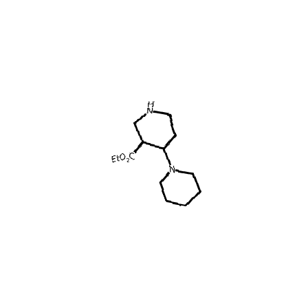 CCOC(=O)C1CNCCC1N1CCCCC1